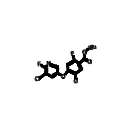 CC(C)(C)OC(=O)c1cc(Cl)c(Oc2cnc(F)c(Cl)c2)cc1F